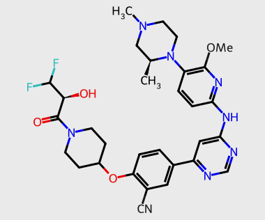 COc1nc(Nc2cc(-c3ccc(OC4CCN(C(=O)[C@H](O)C(F)F)CC4)c(C#N)c3)ncn2)ccc1N1CCN(C)C[C@@H]1C